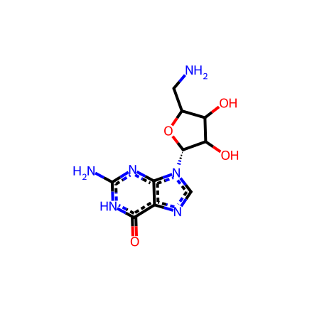 NCC1O[C@@H](n2cnc3c(=O)[nH]c(N)nc32)C(O)C1O